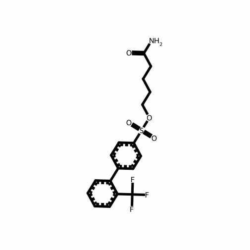 NC(=O)CCCCOS(=O)(=O)c1ccc(-c2ccccc2C(F)(F)F)cc1